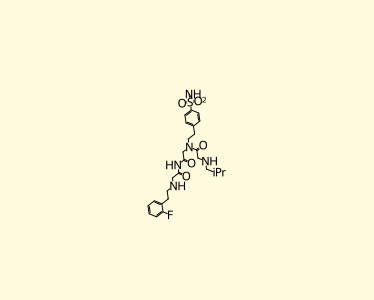 CC(C)CNCC(=O)N(CCc1ccc(S(N)(=O)=O)cc1)CC(=O)NC(=O)CNCCc1ccccc1F